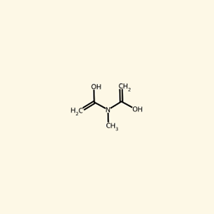 C=C(O)N(C)C(=C)O